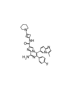 Cc1cnc2ccc(-c3c(-c4ccc(F)cc4)nc(N)c4nc(C(=O)NC56CC(N7CCCCC7)(C5)C6)cn34)cn12